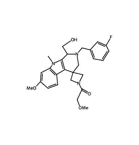 COCC(=O)N1CC2(C1)CN(Cc1cccc(F)c1)C(CO)c1c2c2ccc(OC)cc2n1C